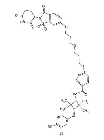 CC1(C)[C@H](NC(=O)c2ccc(OCCCOCCCOc3ccc4c(c3)S(=O)(=O)N(C3CCC(=O)NC3=O)C4=O)nc2)C(C)(C)[C@H]1Oc1ccc(C#N)c(Cl)c1